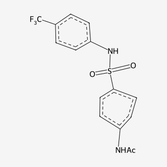 CC(=O)Nc1ccc(S(=O)(=O)Nc2ccc(C(F)(F)F)cc2)cc1